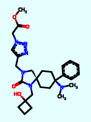 COC(=O)Cn1cc(CN2C[C@]3(CC[C@](c4ccccc4)(N(C)C)CC3)N(CC3(O)CCC3)C2=O)nn1